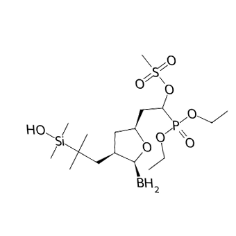 B[C@@H]1O[C@H](CC(OS(C)(=O)=O)P(=O)(OCC)OCC)C[C@@H]1CC(C)(C)[Si](C)(C)O